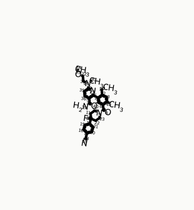 CCc1cc(C)c(C(=O)N2CCC(F)(c3ccc(C#N)cc3)CC2)cc1-c1nc(N(C)CCOC)ccc1C(N)=O